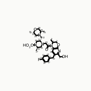 CC1COc2nc(CO)c(Cc3ccc(F)cc3)cc2N1C(=O)CN1C[C@@H](C)N(C(=O)O)C[C@@H]1CN1C[C@H](C)OC[C@H]1C